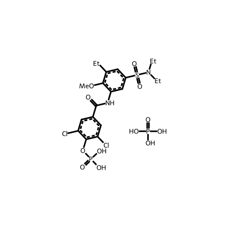 CCc1cc(S(=O)(=O)N(CC)CC)cc(NC(=O)c2cc(Cl)c(OP(=O)(O)O)c(Cl)c2)c1OC.O=P(O)(O)O